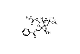 C#C[C@]1(COC(=O)c2ccccc2)OC(OC(C)=O)[C@@H]2OC(C)(C)O[C@@H]21